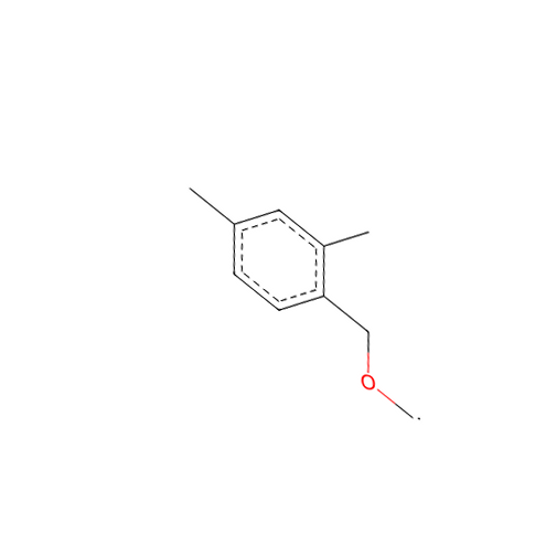 [CH2]OCc1ccc(C)cc1C